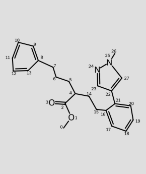 COC(=O)C(CCCc1ccccc1)CCc1ccccc1-c1cnn(C)c1